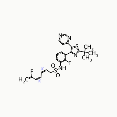 C=C(F)/C=C\C=C/CS(=O)(=O)Nc1cccc(-c2nc(C(C)(C)C)sc2-c2ccncn2)c1F